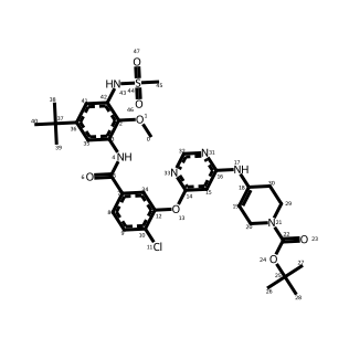 COc1c(NC(=O)c2ccc(Cl)c(Oc3cc(NC4=CCN(C(=O)OC(C)(C)C)CC4)ncn3)c2)cc(C(C)(C)C)cc1NS(C)(=O)=O